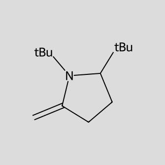 C=C1CCC(C(C)(C)C)N1C(C)(C)C